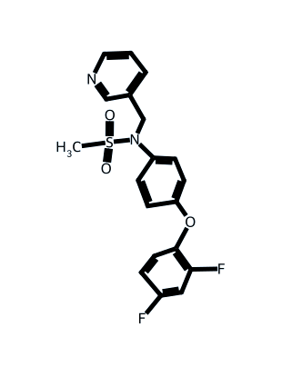 CS(=O)(=O)N(Cc1cccnc1)c1ccc(Oc2ccc(F)cc2F)cc1